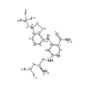 NC(=O)c1cnc(NC[C@@H](N)CC(F)F)nc1Nc1cccc2c1CCN2CC(F)(F)F